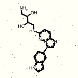 NCC(O)C(O)CNc1ccc2ncc(-c3ccc4[nH]ccc4c3)n2n1